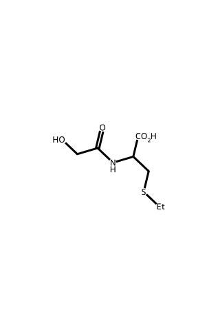 CCSCC(NC(=O)CO)C(=O)O